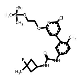 Cc1ccc(NC(=O)NC2CC(C)(F)C2)cc1-c1cc(Cl)nc(OCCO[Si](C)(C)C(C)(C)C)c1